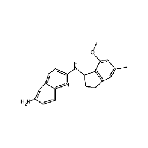 COc1cc(C)cc2c1C(Nc1ccc3cc(N)ccc3n1)CC2